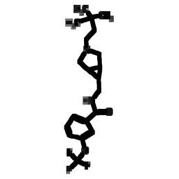 CC(C)(C)CCN1CC2C(CNC(=O)c3cccc(OC(F)(F)F)c3)C2C1